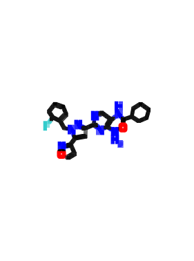 Nc1nc(-c2cc(-c3ccon3)n(CC3=CC=CCC3F)n2)ncc1NC(=O)C1CCCCC1